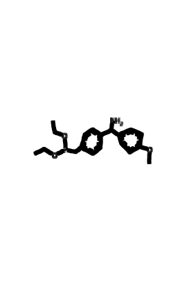 CCOP(Cc1ccc(C(N)c2ccc(OC)cc2)cc1)OCC